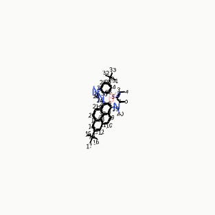 C=C1/C(=C\C)B2c3c(c4ccc5cc(C(C)(C)C)cc6ccc(c3-n3cnc7cc(C(C)(C)C)cc2c73)c4c56)N1C